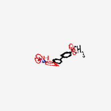 COC(=O)c1ccc(-c2ccc(OC3CN(C(=O)O)C3)cc2)cc1